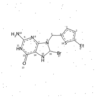 CCc1ccc(CN2c3nc(N)[nH]c(=O)c3NC2Br)s1